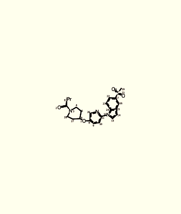 CC(C)C(=O)N1CCC(Oc2ccc(-n3ccc4cc(S(C)(=O)=O)ccc43)nc2)CC1